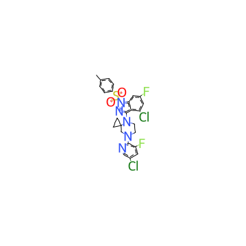 Cc1ccc(S(=O)(=O)n2nc(N3CCN(c4ncc(Cl)cc4F)CC34CC4)c3c(Cl)cc(F)cc32)cc1